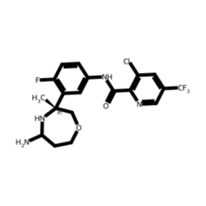 C[C@@]1(c2cc(NC(=O)c3ncc(C(F)(F)F)cc3Cl)ccc2F)COCCC(N)N1